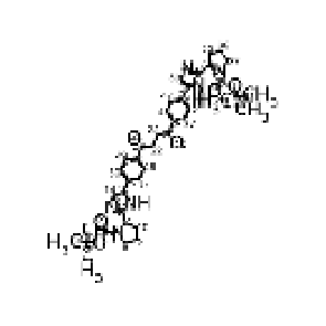 CC(C)(C)OC(=O)N1CCCC1c1ncc(-c2ccc(C(=O)CCC(=O)c3ccc(-c4cnc(C5CCCN5C(=O)OC(C)(C)C)[nH]4)cc3)cc2)[nH]1